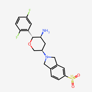 N[C@H]1C[C@@H](N2Cc3ccc([SH](=O)=O)cc3C2)CO[C@@H]1c1cc(F)ccc1F